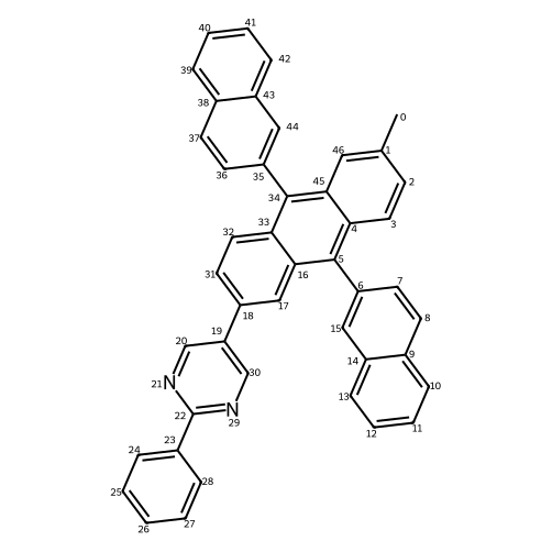 Cc1ccc2c(-c3ccc4ccccc4c3)c3cc(-c4cnc(-c5ccccc5)nc4)ccc3c(-c3ccc4ccccc4c3)c2c1